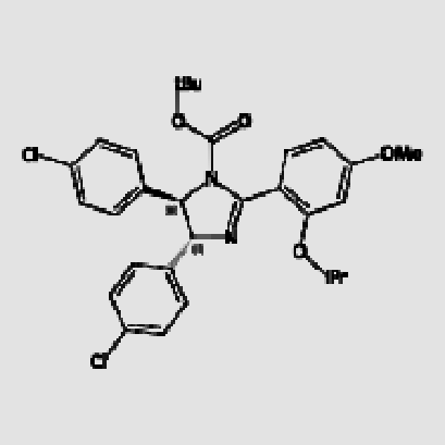 COc1ccc(C2=N[C@H](c3ccc(Cl)cc3)[C@@H](c3ccc(Cl)cc3)N2C(=O)OC(C)(C)C)c(OC(C)C)c1